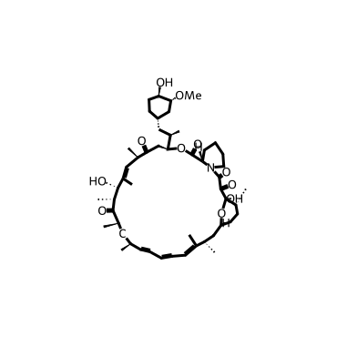 CO[C@@H]1C[C@H](C[C@@H](C)[C@@H]2CC(=O)[C@H](C)/C=C(\C)[C@@H](O)[C@@H](C)C(=O)[C@H](C)C[C@H](C)/C=C/C=C/C=C(\C)[C@@H](C)C[C@@H]3CC[C@@H](C)[C@@](O)(O3)C(=O)C(=O)N3CCCC[C@H]3C(=O)O2)CC[C@H]1O